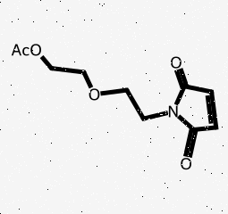 CC(=O)OCCOCCN1C(=O)C=CC1=O